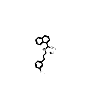 CC(NCCCc1cccc(C(F)(F)F)c1)c1cccc2ccccc12.Cl